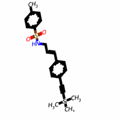 Cc1ccc(S(=O)(=O)NCC=Cc2ccc(C#C[Si](C)(C)C)cc2)cc1